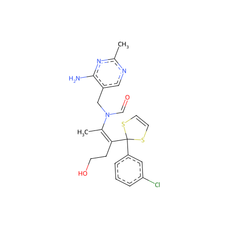 C/C(=C(\CCO)C1(c2cccc(Cl)c2)SC=CS1)N(C=O)Cc1cnc(C)nc1N